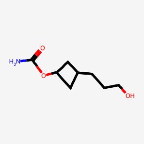 NC(=O)OC1CC(CCCO)C1